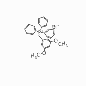 COc1cc(C[P+](c2ccccc2)(c2ccccc2)c2ccccc2)cc(OC)c1.[Br-]